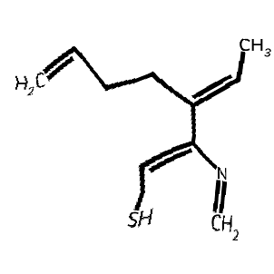 C=CCCC(=C\C)/C(=C/S)N=C